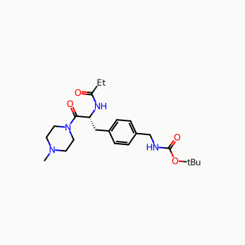 CCC(=O)N[C@H](Cc1ccc(CNC(=O)OC(C)(C)C)cc1)C(=O)N1CCN(C)CC1